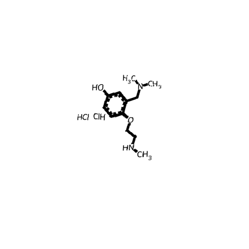 CNCCOc1ccc(O)cc1CN(C)C.Cl.Cl